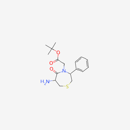 CC(C)(C)OC(=O)CN1C(=O)C(N)CSCC1c1ccccc1